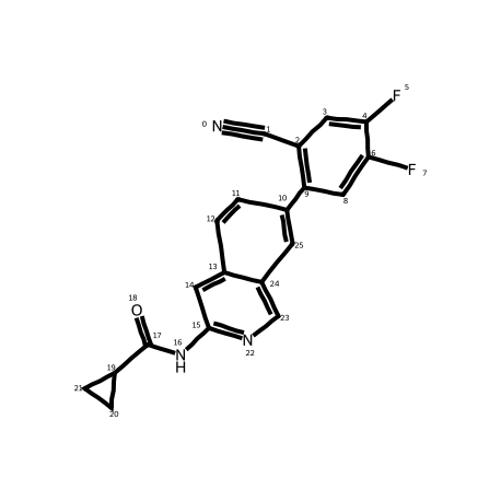 N#Cc1cc(F)c(F)cc1-c1ccc2cc(NC(=O)C3CC3)ncc2c1